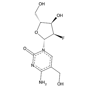 Nc1nc(=O)n([C@@H]2O[C@H](CO)[C@@H](O)[C@H]2F)cc1CO